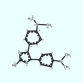 CN(C)c1ccc(-c2nc(S)oc2-c2ccc(N(C)C)cc2)cc1